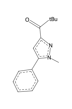 Cn1nc(C(=O)C(C)(C)C)cc1-c1ccccc1